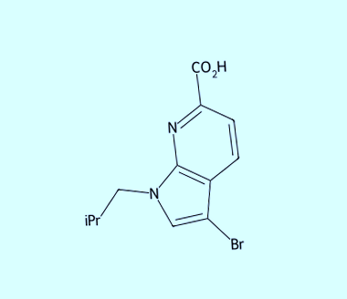 CC(C)Cn1cc(Br)c2ccc(C(=O)O)nc21